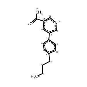 CCCCc1ccc(-c2cncc(C(C)=O)c2)cc1